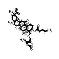 CCCCC(=O)O[C@H]1CC[C@]2(C)[C@H]3C(=O)C=C4[C@@H]5C[C@@](C)(C(=O)O)CC[C@]5(C)CC[C@@]4(C)[C@]3(C)CC[C@@]2(N=O)[C@]1(C)COCc1oc(=O)oc1C